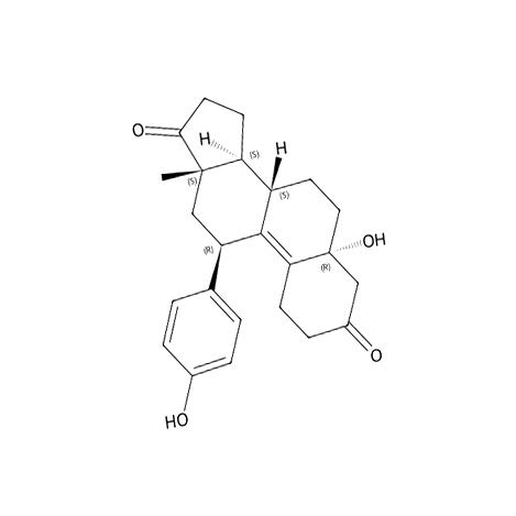 C[C@]12C[C@H](c3ccc(O)cc3)C3=C4CCC(=O)C[C@]4(O)CC[C@H]3[C@@H]1CCC2=O